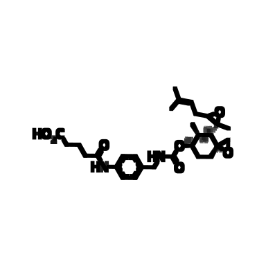 CC(C)=CCC1OC1(C)[C@H]1[C@H](C)[C@H](OC(=O)NCc2ccc(NC(=O)CCCC(=O)O)cc2)CC[C@]12CO2